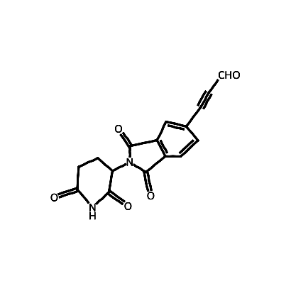 O=CC#Cc1ccc2c(c1)C(=O)N(C1CCC(=O)NC1=O)C2=O